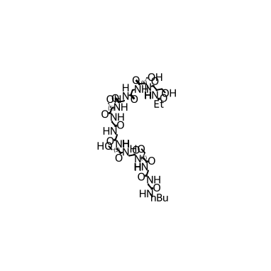 CCCCNC(=O)CNC(=O)CNC(=O)[C@H](CO)NC(=O)CNC(=O)[C@H](CO)NC(=O)CNC(=O)CNC(=O)[C@H](CO)NC(=O)CNC(=O)CNC(=O)[C@H](CO)NC(=O)C(CO)NC(=O)CC